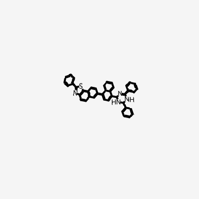 c1ccc(C2=NC(c3ccc(-c4ccc5c(ccc6nc(-c7ccccc7)sc65)c4)c4ccccc34)NC(c3ccccc3)N2)cc1